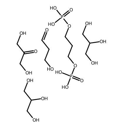 O=C(CO)CO.O=CCCO.O=P(O)(O)OCCCOP(=O)(O)O.OCC(O)CO.OCC(O)CO